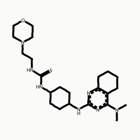 CN(C)c1nc(NC2CCC(NC(=S)NCCN3CCOCC3)CC2)nc2c1CCCC2